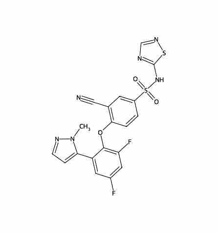 Cn1nccc1-c1cc(F)cc(F)c1Oc1ccc(S(=O)(=O)Nc2ncns2)cc1C#N